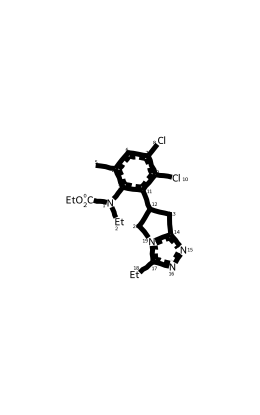 CCOC(=O)N(CC)c1c(C)cc(Cl)c(Cl)c1C1Cc2nnc(CC)n2C1